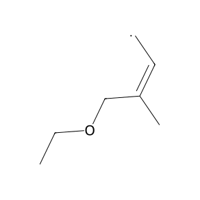 [CH2]C=C(C)COCC